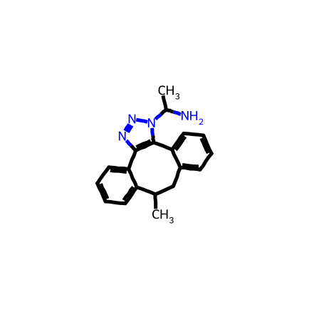 CC1Cc2ccccc2-c2c(nnn2C(C)N)-c2ccccc21